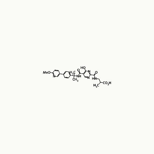 COc1ccc(-c2ccc(C(C)(C)NC(=O)c3cnc(C(=O)NCC(C)C(=O)O)nc3O)cc2)cn1